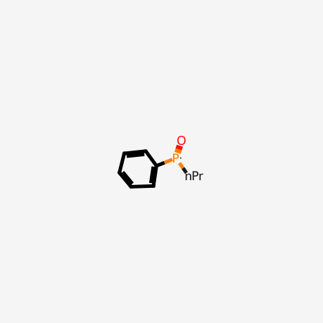 CCC[P](=O)c1ccccc1